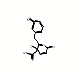 O=C1C=CC(Cl)(C(=O)O)C(Cc2cccc(Cl)c2)=N1